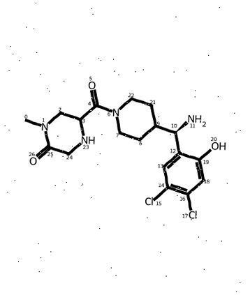 CN1CC(C(=O)N2CCC([C@@H](N)c3cc(Cl)c(Cl)cc3O)CC2)NCC1=O